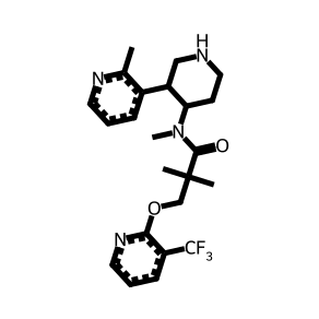 Cc1ncccc1C1CNCCC1N(C)C(=O)C(C)(C)COc1ncccc1C(F)(F)F